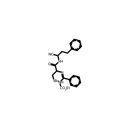 CCOC(=O)N/C(=N\C(CC(C)(C)C)C(=O)NC(C#N)CCc1ccccc1)c1ccccc1